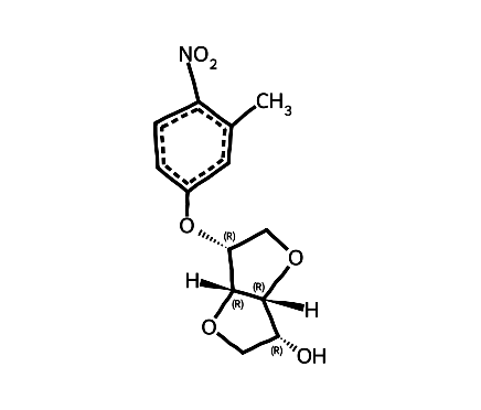 Cc1cc(O[C@@H]2CO[C@H]3[C@@H]2OC[C@H]3O)ccc1[N+](=O)[O-]